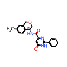 O=C(N[C@@H]1COCc2cc(C(F)(F)F)ccc21)c1cc(=O)[nH]c(C2=CCCC=C2)n1